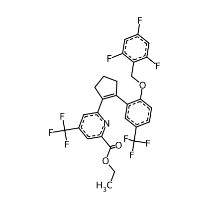 CCOC(=O)c1cc(C(F)(F)F)cc(C2=C(c3cc(C(F)(F)F)ccc3OCc3c(F)cc(F)cc3F)CCC2)n1